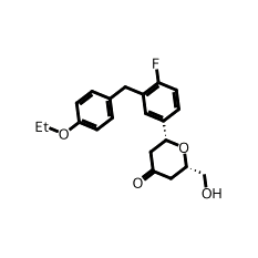 CCOc1ccc(Cc2cc([C@H]3CC(=O)C[C@@H](CO)O3)ccc2F)cc1